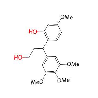 COc1ccc(C(CCO)c2cc(OC)c(OC)c(OC)c2)c(O)c1